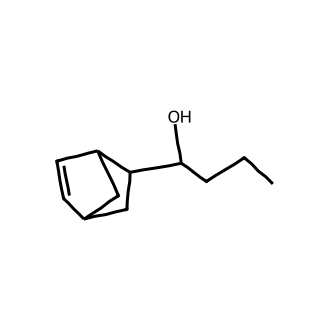 CCCC(O)C1CC2C=CC1C2